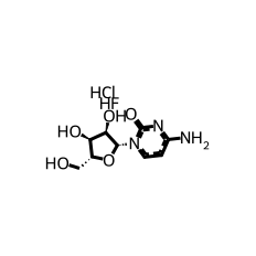 Cl.F.Nc1ccn([C@@H]2O[C@H](CO)[C@@H](O)[C@H]2O)c(=O)n1